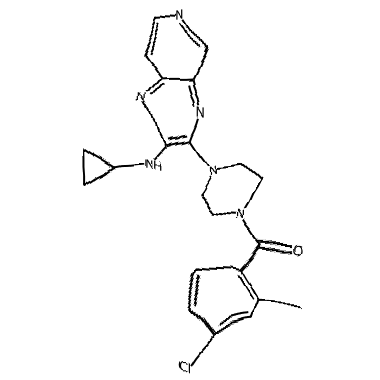 Cc1cc(Cl)ccc1C(=O)N1CCN(c2nc3cnccc3nc2NC2CC2)CC1